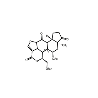 COC[C@H]1OC(=O)C2=COC3C(=O)C4C([C@H](OC(C)=O)C[C@]5(C)C(=O)CC[C@@H]45)[C@]1(C)C23